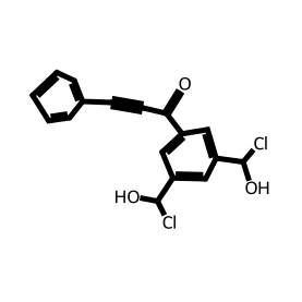 O=C(C#Cc1ccccc1)c1cc(C(O)Cl)cc(C(O)Cl)c1